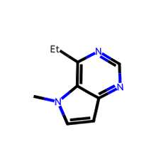 CCc1ncnc2ccn(C)c12